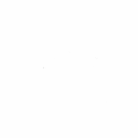 COCCOC(=O)NC1CCCCC(N2CCC3(CC2)CNc2ccc(F)cc23)C1